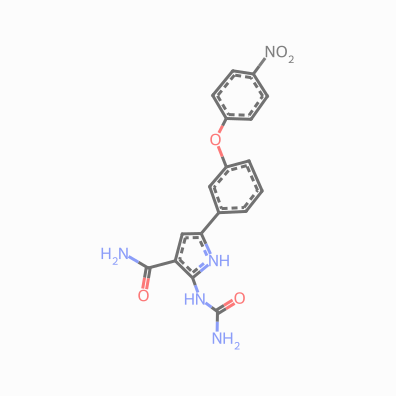 NC(=O)Nc1[nH]c(-c2cccc(Oc3ccc([N+](=O)[O-])cc3)c2)cc1C(N)=O